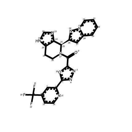 O=C(c1nnc(-c2cc(C(F)(F)F)ccn2)o1)N1CCc2[nH]cnc2[C@H]1c1cc2ccccn2n1